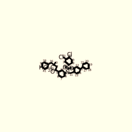 CC(CC(=O)c1cccc(N(Cc2ccc(-c3ccccc3)cc2)S(=O)(=O)c2ccc(Cl)c(Cl)c2)c1)(Cc1ccccc1)C(=O)O